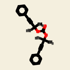 CCCC(C)(C#Cc1ccccc1)OC(=O)OC(C)(C#Cc1ccccc1)CCC